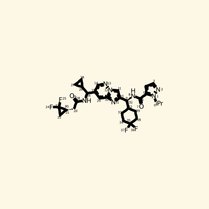 CC(C)n1nccc1C(=O)N[C@H](c1cn2ncc(C(NC(=O)C[C@@H]3CC3(F)F)C3CC3)cc2n1)C1CCC(F)(F)CC1